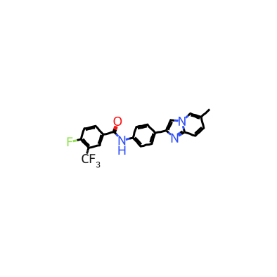 Cc1ccc2nc(-c3ccc(NC(=O)c4ccc(F)c(C(F)(F)F)c4)cc3)cn2c1